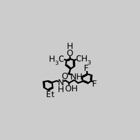 CCc1cccc(CNCC(O)C(Cc2cc(F)cc(F)c2)NC(=O)c2cc(C)c(O)c(C)c2)c1